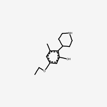 CCOc1cc(C)c(C2CCNCC2)c(O)c1